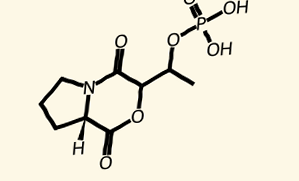 CC(OP(=O)(O)O)C1OC(=O)[C@@H]2CCCN2C1=O